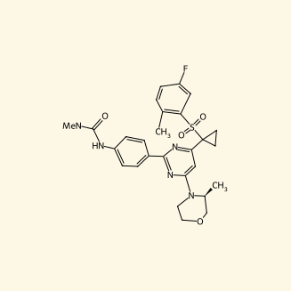 CNC(=O)Nc1ccc(-c2nc(N3CCOC[C@@H]3C)cc(C3(S(=O)(=O)c4cc(F)ccc4C)CC3)n2)cc1